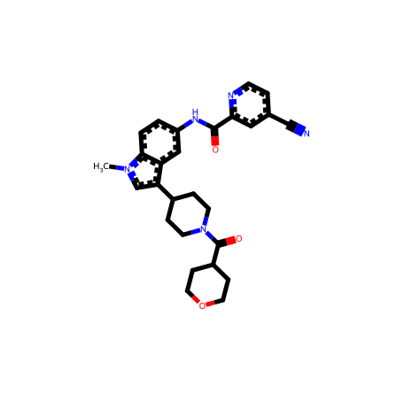 Cn1cc(C2CCN(C(=O)C3CCOCC3)CC2)c2cc(NC(=O)c3cc(C#N)ccn3)ccc21